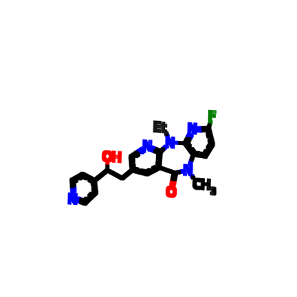 CCN1c2ncc(CC(O)c3ccncc3)cc2C(=O)N(C)c2ccc(F)nc21